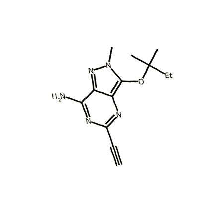 C#Cc1nc(N)c2nn(C)c(OC(C)(C)CC)c2n1